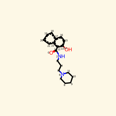 O=C(NCCCN1CCCCC1)c1c(O)ccc2ccccc12